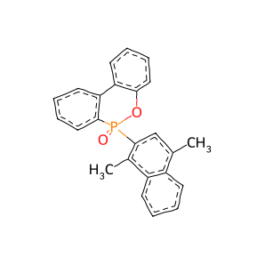 Cc1cc(P2(=O)Oc3ccccc3-c3ccccc32)c(C)c2ccccc12